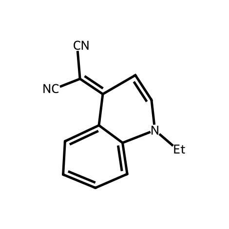 CCN1C=CC(=C(C#N)C#N)c2ccccc21